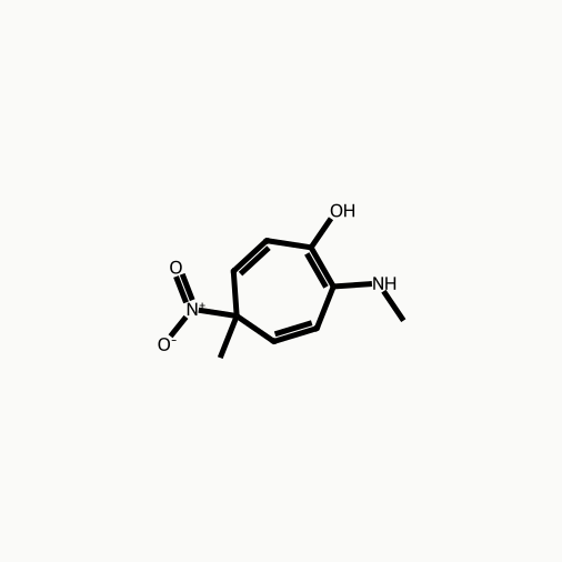 CNC1=C(O)C=CC(C)([N+](=O)[O-])C=C1